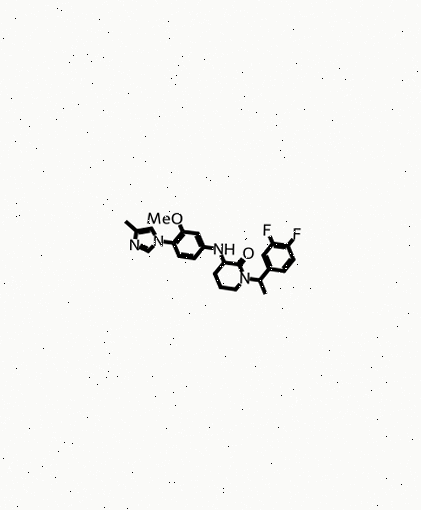 COc1cc(NC2CCCN(C(C)c3ccc(F)c(F)c3)C2=O)ccc1-n1cnc(C)c1